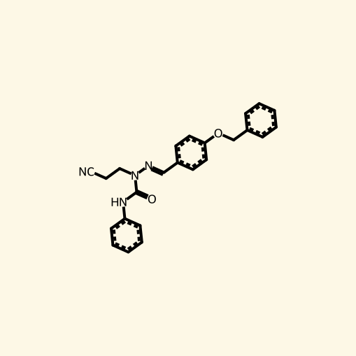 N#CCCN(/N=C/c1ccc(OCc2ccccc2)cc1)C(=O)Nc1ccccc1